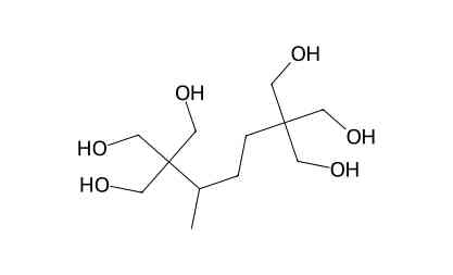 CC(CCC(CO)(CO)CO)C(CO)(CO)CO